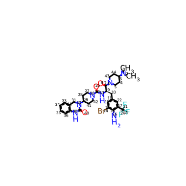 CN(C)C1CCN(C(=O)[C@@H](Cc2cc(Br)c(N)c(C(F)(F)F)c2)NC(=O)N2CCC(N3Cc4ccccc4NC3=O)CC2)CC1